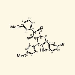 COc1ccc(C2c3[nH]c4ccc(Br)cc4c3CC3C(=O)N(c4cccc(OC)c4)C(=S)N32)cc1